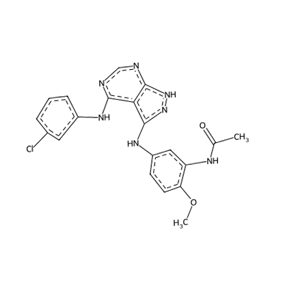 COc1ccc(Nc2n[nH]c3ncnc(Nc4cccc(Cl)c4)c23)cc1NC(C)=O